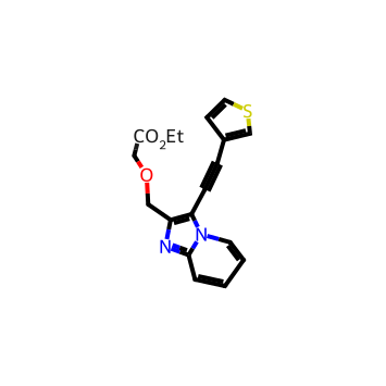 CCOC(=O)COCc1nc2ccccn2c1C#Cc1ccsc1